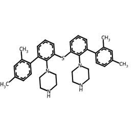 Cc1ccc(-c2cccc(Sc3cccc(-c4ccc(C)cc4C)c3N3CCNCC3)c2N2CCNCC2)c(C)c1